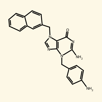 Nc1ccc(Cn2c(N)nc(=O)c3c2ncn3Cc2ccc3ccccc3c2)cc1